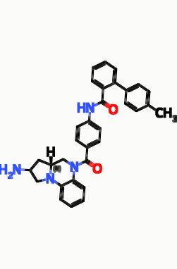 Cc1ccc(-c2ccccc2C(=O)Nc2ccc(C(=O)N3C[C@H]4CC(N)CN4c4ccccc43)cc2)cc1